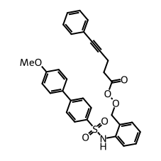 COc1ccc(-c2ccc(S(=O)(=O)Nc3ccccc3COOC(=O)CCC#Cc3ccccc3)cc2)cc1